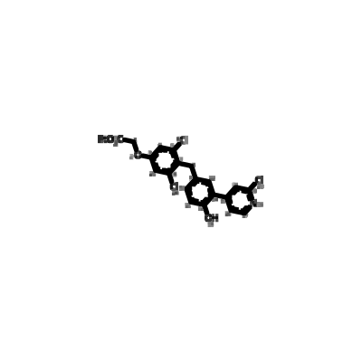 CCOC(=O)COc1cc(Cl)c(Cc2ccc(O)c(-c3ccnc(Cl)c3)c2)c(Cl)c1